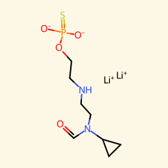 O=CN(CCNCCOP([O-])([O-])=S)C1CC1.[Li+].[Li+]